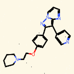 c1cnc2c(-c3ccncc3)c(-c3ccc(OCCN4CCCCC4)cc3)nn2c1